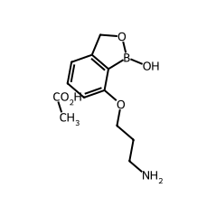 CC(=O)O.NCCCOc1cccc2c1B(O)OC2